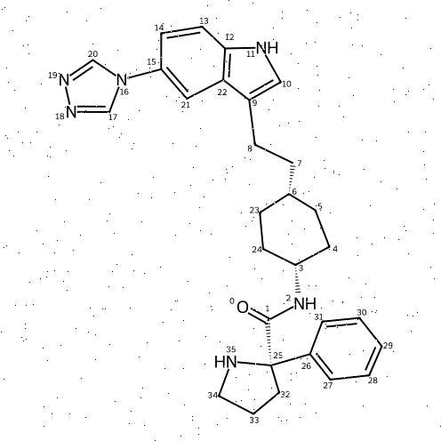 O=C(N[C@H]1CC[C@@H](CCc2c[nH]c3ccc(-n4cnnc4)cc23)CC1)[C@]1(c2ccccc2)CCCN1